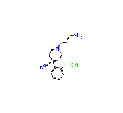 Cl.N#CC1(c2ccccc2F)CCN(CCCN)CC1